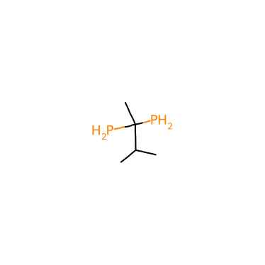 CC(C)C(C)(P)P